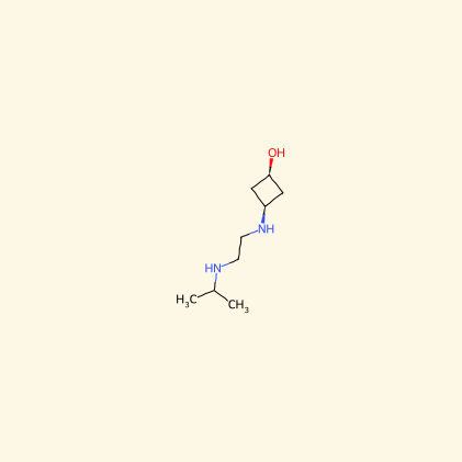 CC(C)NCCN[C@H]1C[C@@H](O)C1